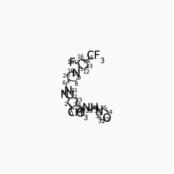 Cc1cc2nn(CC3CCN(c4ccc(C(F)(F)F)cc4F)CC3)cc2cc1C(=O)NCCN1CCOCC1